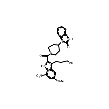 COc1cc([N+](=O)[O-])c2[nH]c(C(=O)N3CCC(n4c(=O)[nH]c5ccccc54)CC3)c(CCCC(C)=O)c2c1